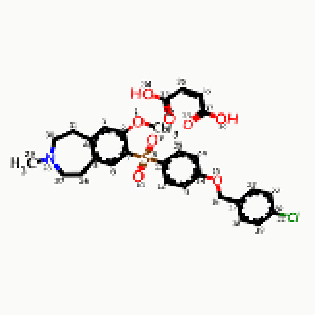 COc1cc2c(cc1S(=O)(=O)c1ccc(OCc3ccc(Cl)cc3)cc1)CCN(C)CC2.O=C(O)/C=C\C(=O)O